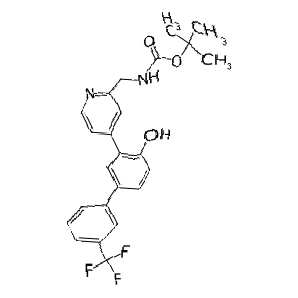 CC(C)(C)OC(=O)NCc1cc(-c2cc(-c3cccc(C(F)(F)F)c3)ccc2O)ccn1